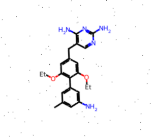 CCOc1cc(Cc2cnc(N)nc2N)cc(OCC)c1-c1cc(C)cc(N)c1